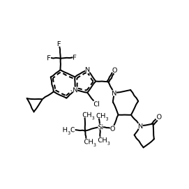 CC(C)(C)[Si](C)(C)OC1CN(C(=O)c2nc3c(C(F)(F)F)cc(C4CC4)cn3c2Cl)CCC1N1CCCC1=O